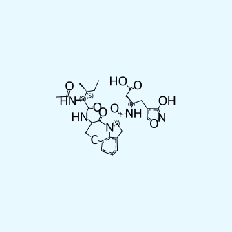 CC[C@H](C)[C@H](NC(C)=O)C(=O)NC1CCc2cccc3c2N(C1=O)[C@H](C(=O)N[C@@H](CC(=O)O)Cc1conc1O)C3